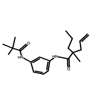 C=CCC(C)(CCC)C(=O)Nc1cccc(NC(=O)C(C)(C)C)c1